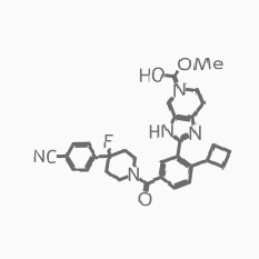 COC(O)N1CCc2nc(-c3cc(C(=O)N4CCC(F)(c5ccc(C#N)cc5)CC4)ccc3C3CCC3)[nH]c2C1